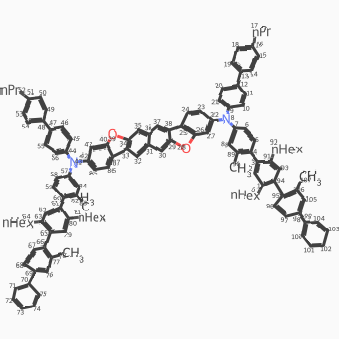 CCCCCCc1cc(-c2ccc(N(c3ccc(-c4ccc(CCC)cc4)cc3)c3ccc4c(c3)oc3cc5cc6c(cc5cc34)oc3cc(N(c4ccc(-c5ccc(CCC)cc5)cc4)c4ccc(-c5cc(CCCCCC)c(-c7ccc(-c8ccccc8)cc7C)cc5CCCCCC)c(C)c4)ccc36)cc2C)c(CCCCCC)cc1-c1ccc(-c2ccccc2)cc1C